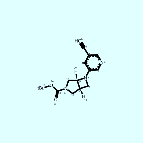 C#Cc1cncc(N2C[C@@H]3CN(C(=O)OC(C)(C)C)C[C@@H]32)c1